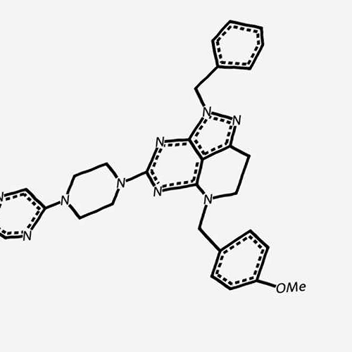 COc1ccc(CN2CCc3nn(Cc4ccccc4)c4nc(N5CCN(c6cnccn6)CC5)nc2c34)cc1